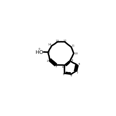 OC1C#Cc2ccc#cc2CCCCC1